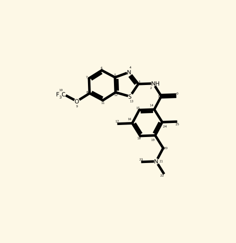 C=C(Nc1nc2ccc(OC(F)(F)F)cc2s1)c1cc(C)cc(CN(C)C)c1C